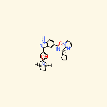 O=C(N[C@H](c1ncccn1)C1CCCC1)c1ccc2[nH]nc(-c3ccc(N4[C@@H]5CC[C@H]4CC(O)C5)cc3)c2c1